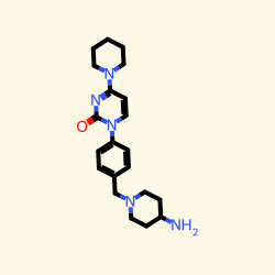 NC1CCN(Cc2ccc(-n3ccc(N4CCCCC4)nc3=O)cc2)CC1